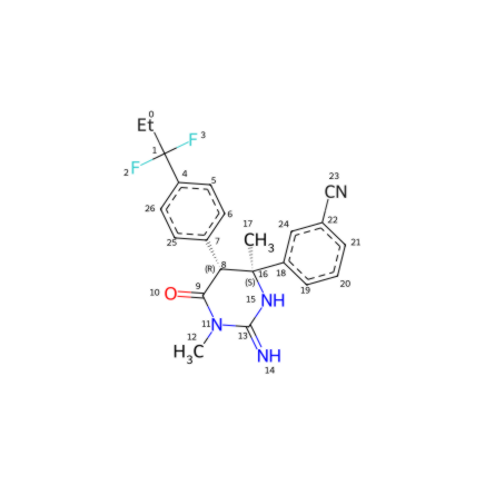 CCC(F)(F)c1ccc([C@H]2C(=O)N(C)C(=N)N[C@]2(C)c2cccc(C#N)c2)cc1